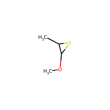 COC1SC1C